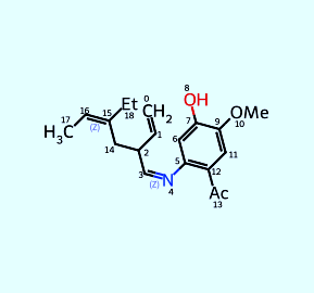 C=CC(/C=N\c1cc(O)c(OC)cc1C(C)=O)C/C(=C\C)CC